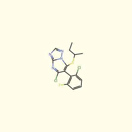 CCC(C)Sc1c(-c2c(F)cccc2Cl)c(Cl)nc2ncnn12